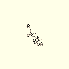 CC(C)[C@@H](C(=O)O)N(C)C(=O)[C@H]1CCN(C(=O)C#CCN(C)C)C1